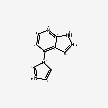 c1cn(-c2ccnc3[nH]ncc23)cn1